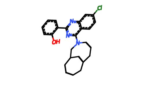 Oc1ccccc1-c1nc(N2CCCC3CCCCC(C3)C2)c2ccc(Cl)cc2n1